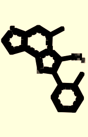 Cc1ccccc1-c1nc2c3ccsc3cc(C)n2c1N